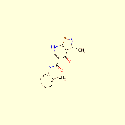 Cc1ccccc1NC(=O)c1c[nH]c2snc(C)c2c1=O